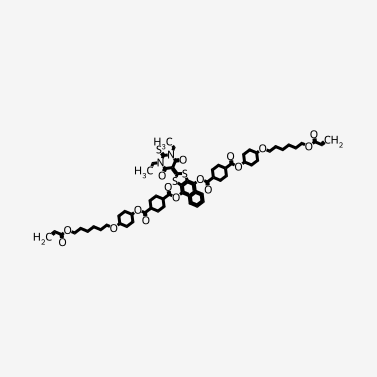 C=CC(=O)OCCCCCCOC1CCC(OC(=O)C2CCC(C(=O)Oc3c4c(c(OC(=O)C5CCC(C(=O)OC6CCC(OCCCCCCOC(=O)C=C)CC6)CC5)c5ccccc35)SC(=C3C(=O)N(CC)C(=S)N(CC)C3=O)S4)CC2)CC1